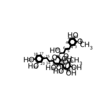 COc1cc(C=CC(=O)C(O)[C@H]2OC(CCc3ccc(O)c(O)c3)[C@H](O)[C@](O)(C3O[C@H](C)[C@@H](O)[C@H](O)[C@@H]3O)[C@@H]2O)ccc1O